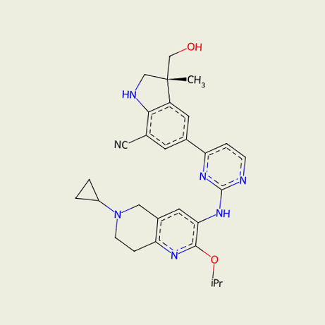 CC(C)Oc1nc2c(cc1Nc1nccc(-c3cc(C#N)c4c(c3)[C@@](C)(CO)CN4)n1)CN(C1CC1)CC2